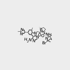 Cc1ncc(-c2cc(C)c3c(c2)c2c(N)ncnc2n3CC(=O)N2[C@H](C)CC[C@H]2C(=O)Nc2nc(Br)ccc2C)cn1